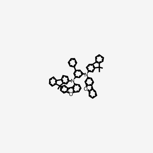 CC1(C)c2ccccc2-c2ccc(N(c3cc(-c4ccccc4)cc(N(c4ccc5c(c4)C(C)(C)c4ccccc4-5)c4cccc5oc6ccccc6c45)c3)c3ccc4c(c3)oc3ccccc34)cc21